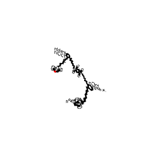 CCCCCCCCC1C(CCCCCC)CCC(CCCCCCCCn2c(=O)c3cc4c(=O)n(CCCCCCCCC5C(CCCCCCCCC(C)(CCCCC)N6C(=O)C=CC6=O)CCC(CCCCCC)C5CCCCCCCC)c(=O)c4cc3c2=O)C1CCCCCCCCN1C(=O)C=CC1=O